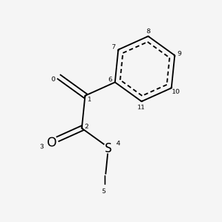 C=C(C(=O)SI)c1ccccc1